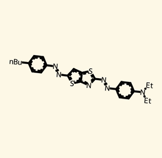 CCCCc1ccc(N=Nc2cc3sc(N=Nc4ccc(N(CC)CC)cc4)nc3s2)cc1